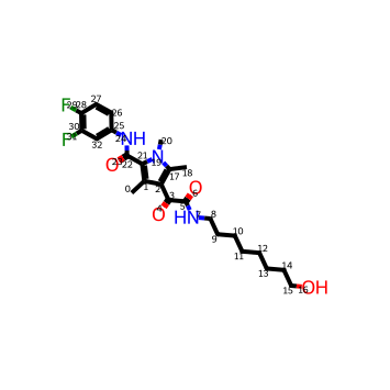 Cc1c(C(=O)C(=O)NCCCCCCCCO)c(C)n(C)c1C(=O)Nc1ccc(F)c(F)c1